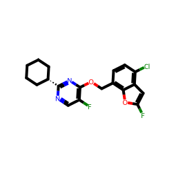 Fc1cc2c(Cl)ccc(COc3nc([C@H]4C[CH]CCC4)ncc3F)c2o1